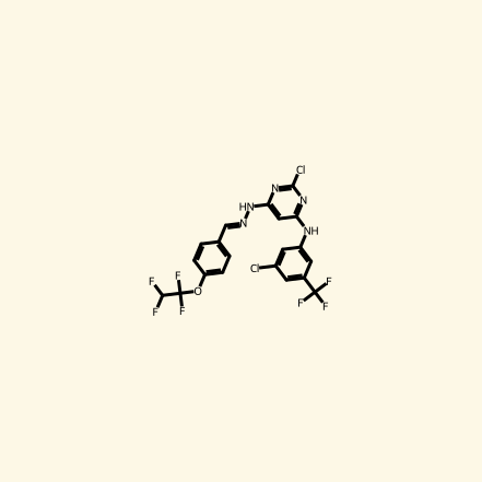 FC(F)C(F)(F)Oc1ccc(/C=N/Nc2cc(Nc3cc(Cl)cc(C(F)(F)F)c3)nc(Cl)n2)cc1